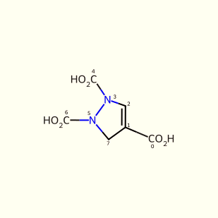 O=C(O)C1=CN(C(=O)O)N(C(=O)O)C1